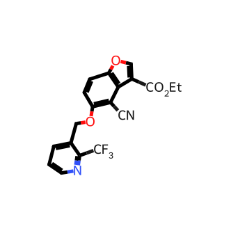 CCOC(=O)c1coc2ccc(OCc3cccnc3C(F)(F)F)c(C#N)c12